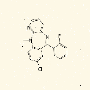 CN1c2ccc(Cl)cc2C(c2ccccc2F)=Nc2cccnc21